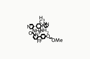 COCCOc1cc(F)c(-c2nc(C(=O)Nc3cnccc3[C@@H]3C[C@@H](C)[C@H](n4ccnn4)[C@H](N)C3)ccc2F)c(F)c1